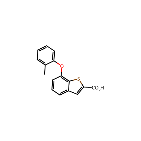 Cc1ccccc1Oc1cccc2cc(C(=O)O)sc12